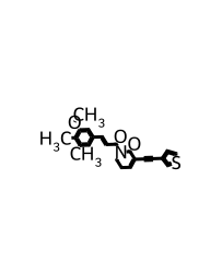 COc1cc(/C=C/C(=O)N2CCC=C(C#Cc3ccsc3)C2=O)cc(C)c1C